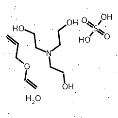 C=CCOC=C.O.O=S(=O)(O)O.OCCN(CCO)CCO